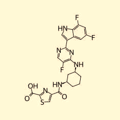 O=C(N[C@@H]1CCC[C@H](Nc2nc(-c3c[nH]c4c(F)cc(F)cc34)ncc2F)C1)c1csc(C(=O)O)n1